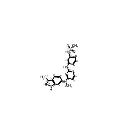 CC1NNc2cc(N(C)c3ccnc(Nc4cccc(NS(C)(=O)=O)c4)n3)ccc21